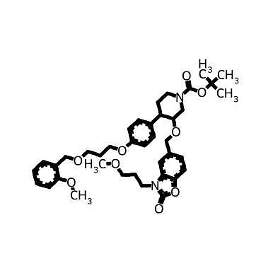 COCCCn1c(=O)oc2ccc(COC3CN(C(=O)OC(C)(C)C)CCC3c3ccc(OCCCOCc4ccccc4OC)cc3)cc21